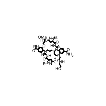 CCn1nc(C)cc1C(=O)Nc1nc2cc(C(N)=O)cc(OCCCOC)c2n1CCC[C@H]1CCN(CCNCCO)c2cc(C(N)=O)cc3nc(NC(=O)c4cc(C)nn4CC)n1c23